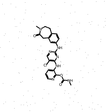 CNC(=O)Oc1ncccc1Nc1nc(Nc2ccc3c(c2)CC(=O)N(C)CC3)ncc1Cl